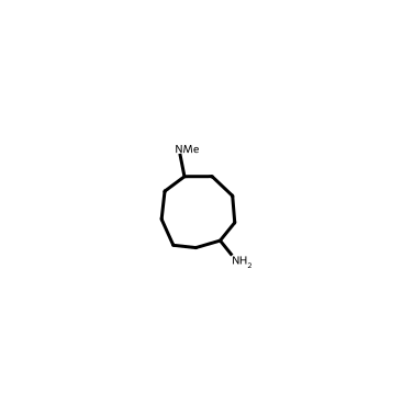 CNC1CCCCC(N)CCC1